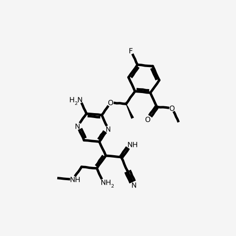 CNC/C(N)=C(/C(=N)C#N)c1cnc(N)c(O[C@H](C)c2cc(F)ccc2C(=O)OC)n1